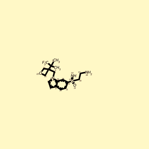 CC(C)(C(F)(F)F)C1(Cn2ccc3ccc(S(=N)(=O)CCN)cc32)COC1